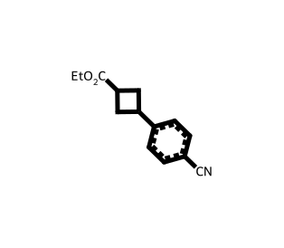 CCOC(=O)C1CC(c2ccc(C#N)cc2)C1